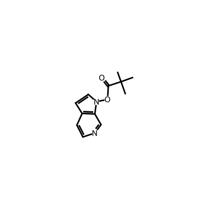 CC(C)(C)C(=O)On1ccc2ccncc21